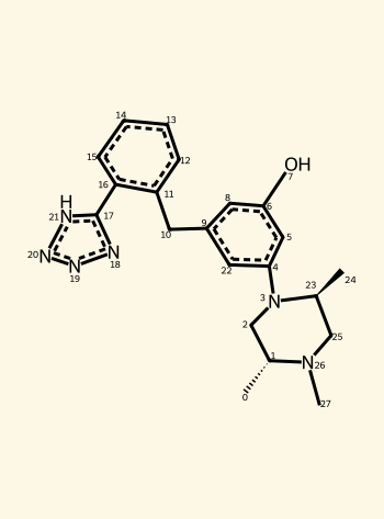 C[C@@H]1CN(c2cc(O)cc(Cc3ccccc3-c3nnn[nH]3)c2)[C@@H](C)CN1C